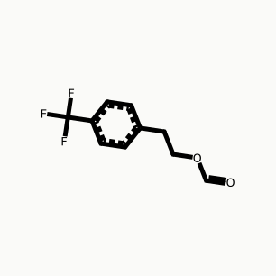 O=COCCc1ccc(C(F)(F)F)cc1